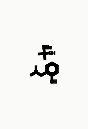 CN(C)Cc1ccccc1O.CNC(C)(C)O